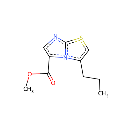 CCCc1csc2ncc(C(=O)OC)n12